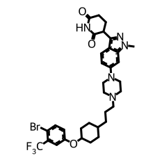 Cn1nc(C2CCC(=O)NC2=O)c2ccc(N3CCN(CCCC4CCC(Oc5ccc(Br)c(C(F)(F)F)c5)CC4)CC3)cc21